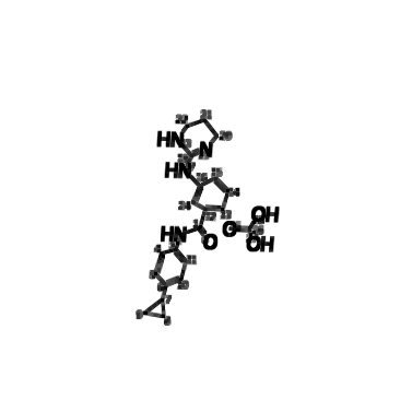 O=C(Nc1ccc(C2CC2)cc1)c1cccc(NC2=NCCCN2)c1.O=C(O)O